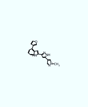 Cn1cc(-c2cc(-c3cc4c(-c5ccoc5)cccc4[nH]3)n[nH]2)cn1